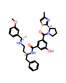 COc1cccc([C@H](C)NCC[C@H](Cc2ccccc2)NC(=O)c2cc(O)cc(C(=O)N3CCC[C@@H]3c3nc(C)cs3)c2)c1